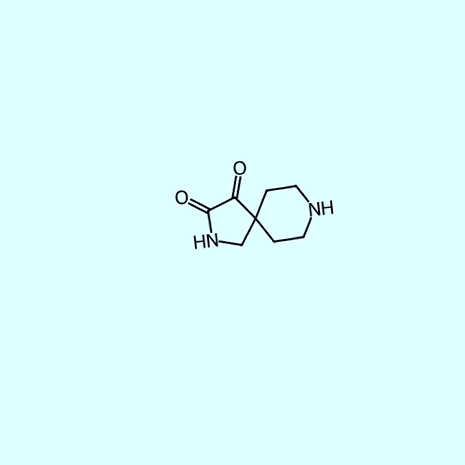 O=C1NCC2(CCNCC2)C1=O